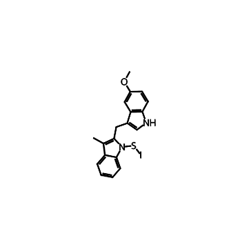 COc1ccc2[nH]cc(Cc3c(C)c4ccccc4n3SI)c2c1